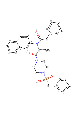 CC(C(=O)N1CCN(S(=O)(=O)Cc2ccccc2)CC1)N(C(=O)Cc1ccccc1)c1ccc2ccccc2c1